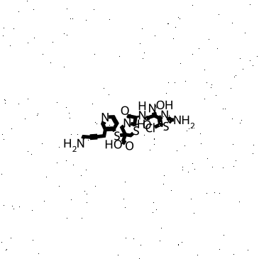 NCC#CCc1cnccc1SC1(C(=O)O)CS[C@@H]2[C@H](NC(=O)C(=NO)c3nc(N)sc3Cl)C(=O)N2C1